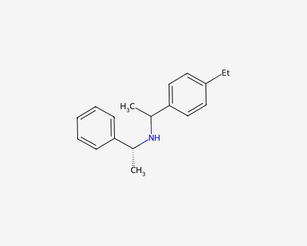 CCc1ccc(C(C)N[C@H](C)c2ccccc2)cc1